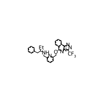 CCC(Cc1ccccc1)NCc1cccc(COc2nn3c(C(F)(F)F)nnc3c3ccccc23)n1